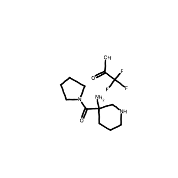 NC1(C(=O)N2CCCC2)CCCNC1.O=C(O)C(F)(F)F